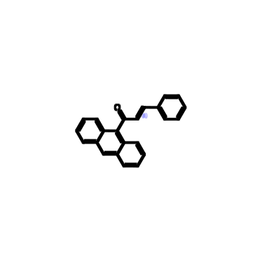 O=C(/C=C/c1ccccc1)c1c2ccccc2cc2ccccc12